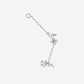 C[N+](C)(C)CCCCCCCCCCOP(=O)([O-])OCC(O)COCCCCCCCCCCCCC1CCCCC1